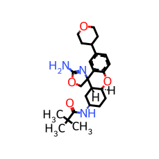 CC(C)(C)C(=O)N[C@@H]1CC[C@@H]2Oc3ccc(C4CCOCC4)cc3C3(COC(N)=N3)[C@H]2C1